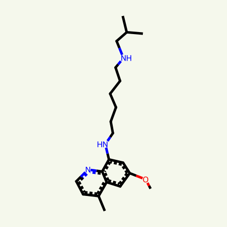 COc1cc(NCCCCCCNCC(C)C)c2nccc(C)c2c1